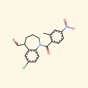 Cc1cc([N+](=O)[O-])ccc1C(=O)N1CCCC(C=O)c2cc(Cl)ccc21